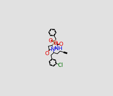 C#CCCC(Cc1cccc(Cl)c1)[N+]1(NC(C)=O)C(=O)CC1S(=O)(=O)Cc1ccccc1